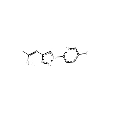 C/C(=C/c1cnn(-c2ccc(F)cn2)c1)[N+](=O)[O-]